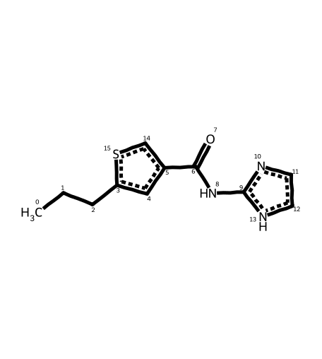 CCCc1cc(C(=O)Nc2ncc[nH]2)cs1